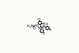 COc1cc(C)c(-c2nc3ccc(F)cn3c2Nc2ccc(F)cc2F)c(OCC(N)=O)c1